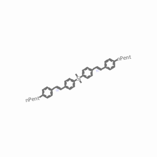 CCCCCc1ccc(/C=C/c2ccc([Si](C)(C)c3ccc(/C=C/c4ccc(CCCCC)cc4)cc3)cc2)cc1